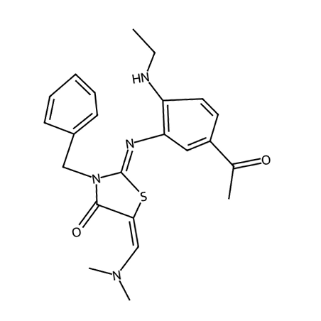 CCNc1ccc(C(C)=O)cc1N=C1SC(=CN(C)C)C(=O)N1Cc1ccccc1